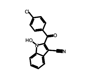 N#Cc1c(C(=O)c2ccc(Cl)cc2)n(O)c2ccccc12